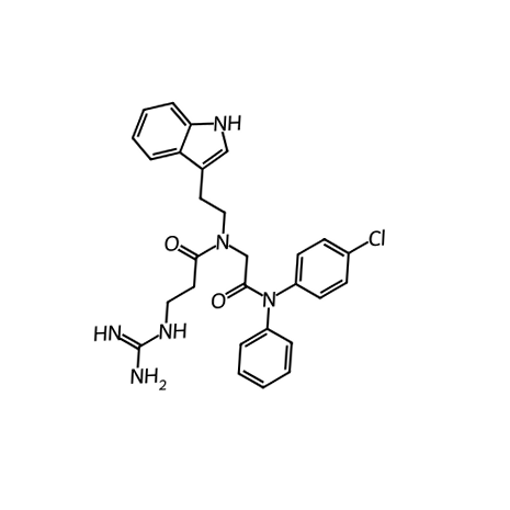 N=C(N)NCCC(=O)N(CCc1c[nH]c2ccccc12)CC(=O)N(c1ccccc1)c1ccc(Cl)cc1